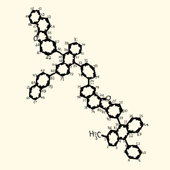 Cc1ccc2c(-c3ccccc3)c3ccccc3c(-c3ccc4oc5c6cc(-c7cccc(-c8c9ccccc9c(-c9ccc%10oc%11c%12ccccc%12ccc%11c%10c9)c9cc(-c%10ccc%11ccccc%11c%10)ccc89)c7)ccc6ccc5c4c3)c2c1